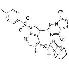 CCOC(=O)[C@@H]1C2CCC(CC2)[C@H]1Nc1nc(-c2cn(S(=O)(=O)c3ccc(C)cc3)c3ncc(F)cc23)nn2c(C(F)(F)F)ccc12